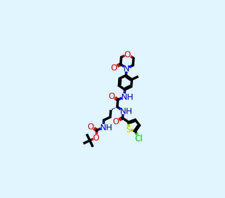 Cc1cc(NC(=O)[C@@H](CCCNC(=O)OC(C)(C)C)NC(=O)c2ccc(Cl)s2)ccc1N1CCOCC1=O